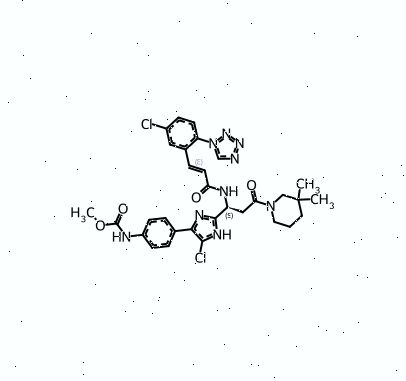 COC(=O)Nc1ccc(-c2nc([C@H](CC(=O)N3CCCC(C)(C)C3)NC(=O)/C=C/c3cc(Cl)ccc3-n3cnnn3)[nH]c2Cl)cc1